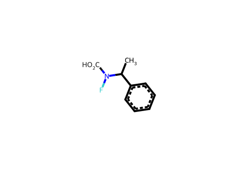 CC(c1ccccc1)N(F)C(=O)O